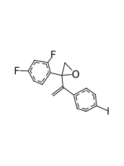 C=C(c1ccc(I)cc1)C1(c2ccc(F)cc2F)CO1